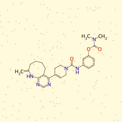 C=C1CCCCc2c(ncnc2C2=CCN(C(=O)Nc3cccc(OC(=O)N(C)C)c3)CC2)N1